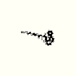 CC[C@@]12C=C(C(=O)NCC(=O)OCCOCCOC)n3c4c(c5ccccc53)CCN(CCC1)[C@H]42